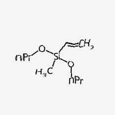 C=C[Si](C)(OCCC)OCCC